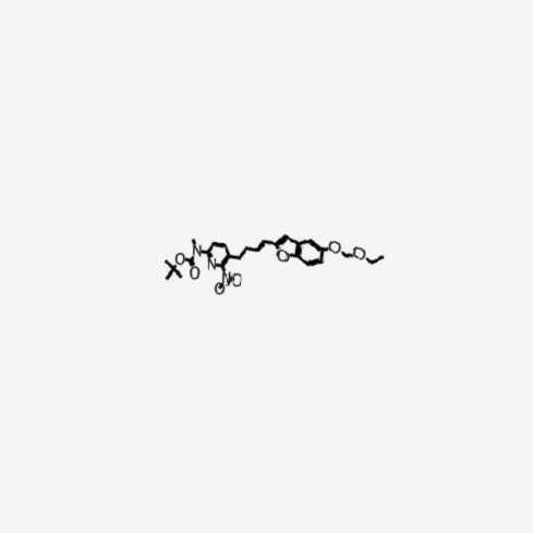 CCOCOc1ccc2oc(/C=C/CCc3ccc(N(C)C(=O)OC(C)(C)C)nc3[N+](=O)[O-])cc2c1